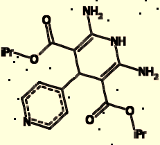 CC(C)OC(=O)C1=C(N)NC(N)=C(C(=O)OC(C)C)C1c1ccncc1